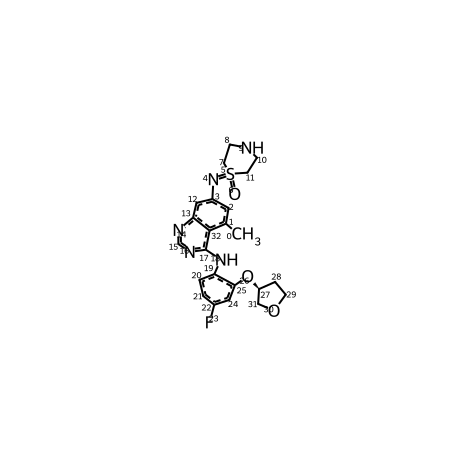 Cc1cc(N=S2(=O)CCNCC2)cc2ncnc(Nc3ccc(F)cc3O[C@H]3CCOC3)c12